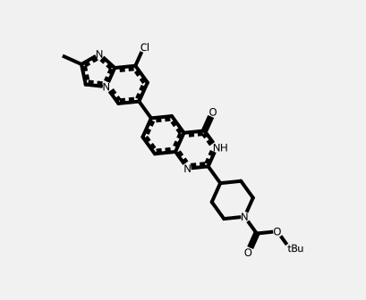 Cc1cn2cc(-c3ccc4nc(C5CCN(C(=O)OC(C)(C)C)CC5)[nH]c(=O)c4c3)cc(Cl)c2n1